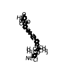 CC1(C)[C@H](Oc2ccc(C#N)c(Cl)c2)C(C)(C)[C@H]1N1Cc2ccc(N3CCN(C4CC5(C4)CN(c4ccc6c(c4)C(=O)N(C4CCC(=O)NC4=O)C6=O)C5)CC3)cc2C1